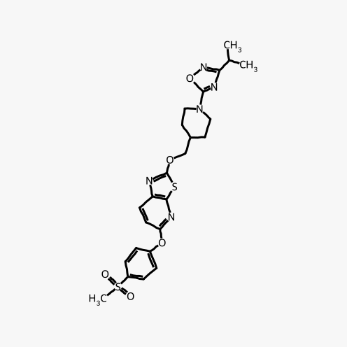 CC(C)c1noc(N2CCC(COc3nc4ccc(Oc5ccc(S(C)(=O)=O)cc5)nc4s3)CC2)n1